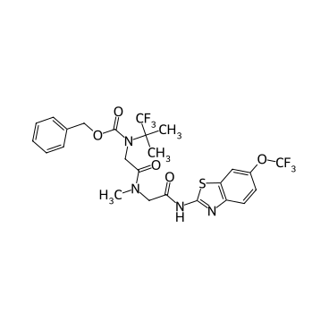 CN(CC(=O)Nc1nc2ccc(OC(F)(F)F)cc2s1)C(=O)CN(C(=O)OCc1ccccc1)C(C)(C)C(F)(F)F